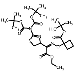 CCOC(=O)/C(=N\OC1(C(=O)OC(C)(C)C)CCC1)C1CSC(N(C(=O)OC(C)(C)C)C(=O)OC(C)(C)C)=N1